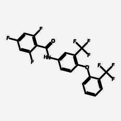 O=C(Nc1ccc(Oc2ccccc2C(F)(F)F)c(C(F)(F)F)c1)c1c(F)cc(F)cc1F